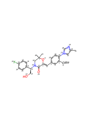 COc1cc(/C=C2\OC(C)(C)CN([C@@H](CO)c3ccc(F)cc3)C2=O)ccc1-n1cnc(C)c1